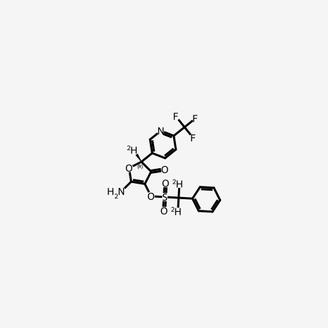 [2H]C([2H])(c1ccccc1)S(=O)(=O)OC1=C(N)O[C@]([2H])(c2ccc(C(F)(F)F)nc2)C1=O